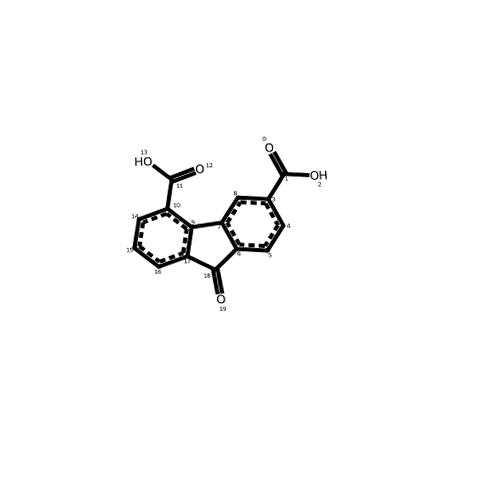 O=C(O)c1ccc2c(c1)-c1c(C(=O)O)cccc1C2=O